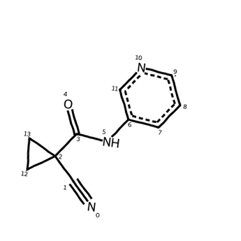 N#CC1(C(=O)Nc2cc[c]nc2)CC1